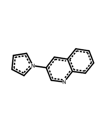 c1ccc2ncc(-n3cccc3)cc2c1